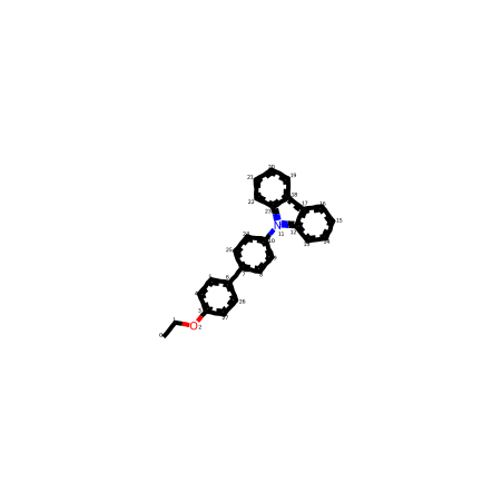 CCOc1ccc(-c2ccc(-n3c4ccccc4c4ccccc43)cc2)cc1